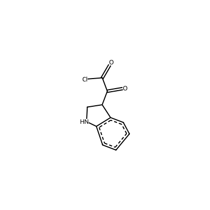 O=C(Cl)C(=O)C1CNc2ccccc21